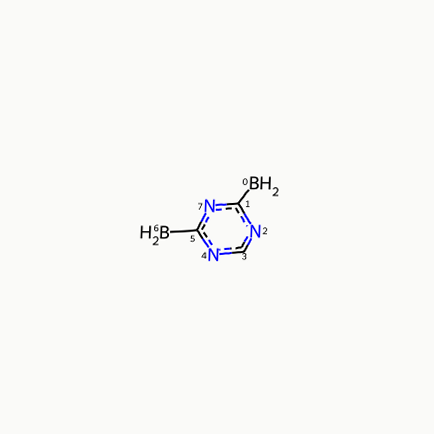 Bc1ncnc(B)n1